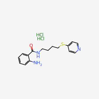 Cl.Cl.Nc1ccccc1C(=O)NCCCCSc1ccncc1